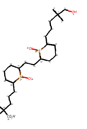 CC(C)(CO)CCCC1CCCC(CCC2CCCC(CCCC(C)(C)C(=O)O)[S+]2[O-])[S+]1[O-]